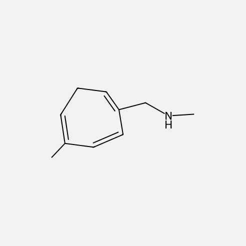 CNCC1=CCC=C(C)C=C1